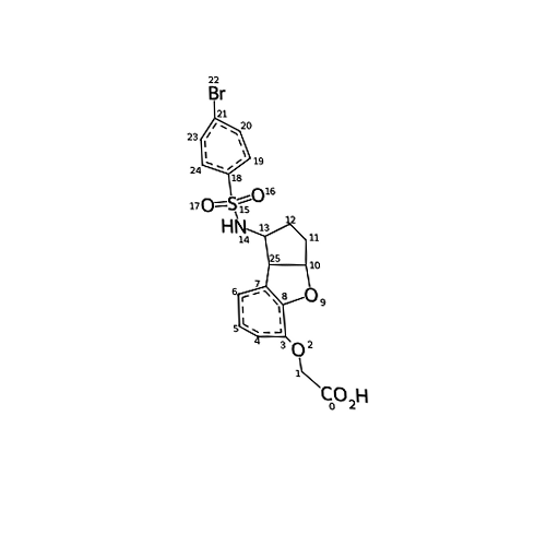 O=C(O)COc1cccc2c1OC1CCC(NS(=O)(=O)c3ccc(Br)cc3)C21